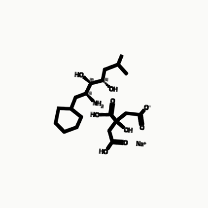 CC(C)C[C@H](O)[C@H](O)[C@@H](N)CC1CCCCC1.O=C([O-])CC(O)(CC(=O)O)C(=O)O.[Na+]